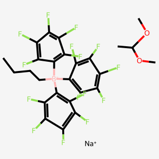 CCCC[B-](c1c(F)c(F)c(F)c(F)c1F)(c1c(F)c(F)c(F)c(F)c1F)c1c(F)c(F)c(F)c(F)c1F.COC(C)OC.[Na+]